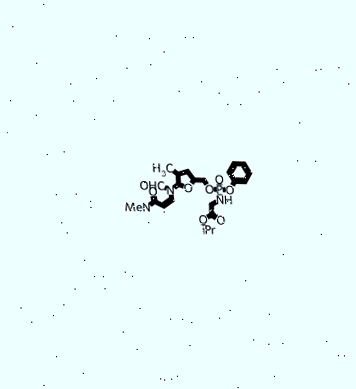 CNC(=O)/C=C\N(C=O)C1OC(COP(=O)(NCC(=O)OC(C)C)Oc2ccccc2)CC1C